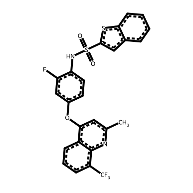 Cc1cc(Oc2ccc(NS(=O)(=O)c3cc4ccccc4s3)c(F)c2)c2cccc(C(F)(F)F)c2n1